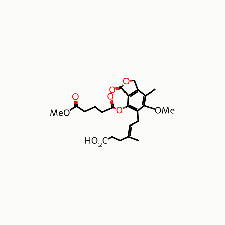 COC(=O)CCCC(=O)Oc1c(C/C=C(\C)CCC(=O)O)c(OC)c(C)c2c1C(=O)OC2